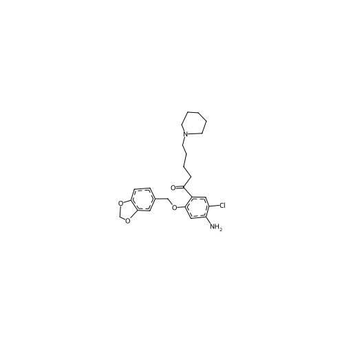 Nc1cc(OCc2ccc3c(c2)OCO3)c(C(=O)CCCCN2CCCCC2)cc1Cl